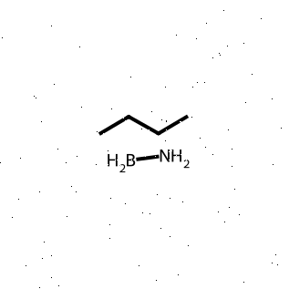 BN.CCCC